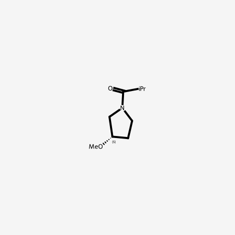 CO[C@H]1CCN(C(=O)C(C)C)C1